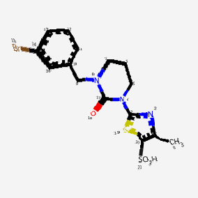 Cc1nc(N2CCCN(Cc3cccc(Br)c3)C2=O)sc1S(=O)(=O)O